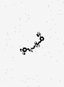 COc1ccc(CCN(C)CCCNC(=O)C/C=C/c2cccc(-n3ccnc3)c2)cc1OC